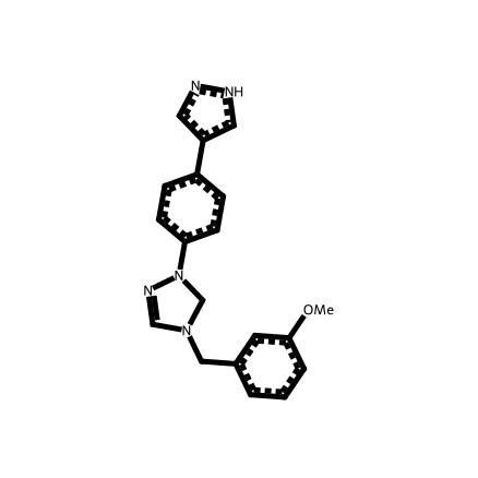 COc1cccc(CN2C=NN(c3ccc(-c4cn[nH]c4)cc3)C2)c1